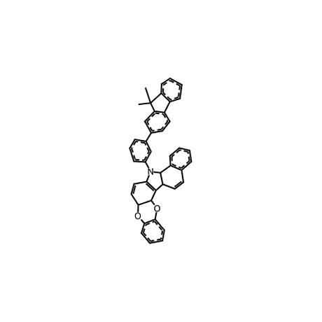 CC1(C)c2ccccc2-c2ccc(-c3cccc(N4C5=C(C6C=Cc7ccccc7C64)C4Oc6ccccc6OC4C=C5)c3)cc21